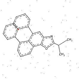 CC(C)c1nc2cc(-c3ccccc3)c3c(-c4ccccc4)cccc3c2o1